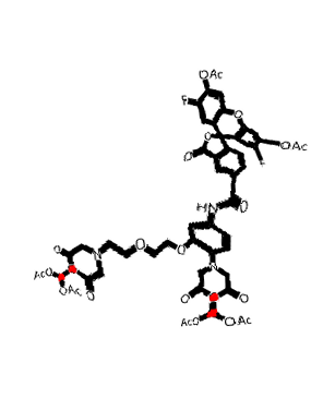 CC(=O)OCOC(=O)CN(CCOCCOc1cc(NC(=O)c2ccc3c(c2)C(=O)OC32c3cc(F)c(OC(C)=O)cc3Oc3cc(OC(C)=O)c(F)cc32)ccc1N(CC(=O)OCOC(C)=O)CC(=O)OCOC(C)=O)CC(=O)OCOC(C)=O